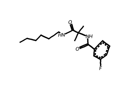 CCCCCCNC(=O)C(C)(C)NC(=O)c1cccc(F)c1